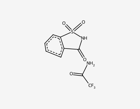 NC(=O)C(F)(F)F.O=C1NS(=O)(=O)c2ccccc21